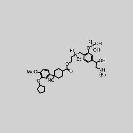 CC[N+](CC)(CCOC(=O)C1CCC(C#N)(c2ccc(OC)c(OC3CCCC3)c2)CC1)Cc1ccc(C(O)CNC(C)(C)C)cc1OP(=O)(O)O